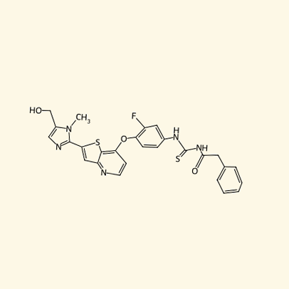 Cn1c(CO)cnc1-c1cc2nccc(Oc3ccc(NC(=S)NC(=O)Cc4ccccc4)cc3F)c2s1